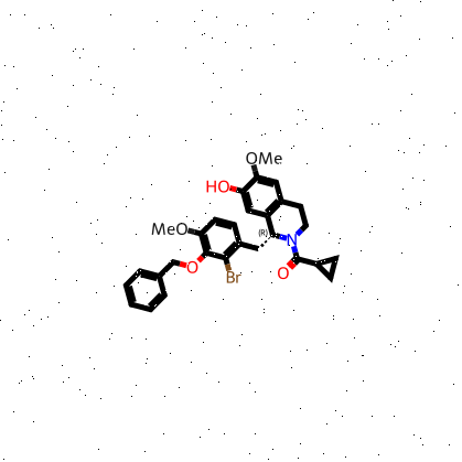 COc1cc2c(cc1O)[C@@H](Cc1ccc(OC)c(OCc3ccccc3)c1Br)N(C(=O)C1CC1)CC2